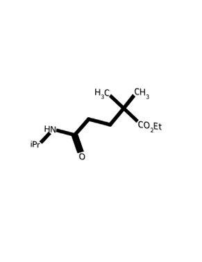 CCOC(=O)C(C)(C)CCC(=O)NC(C)C